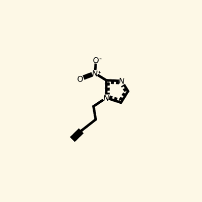 C#CCCn1ccnc1[N+](=O)[O-]